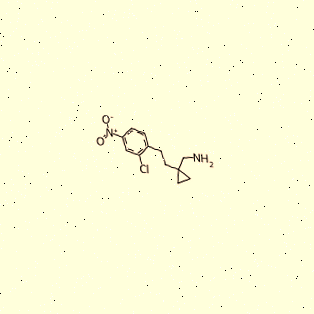 NCC1(CCc2ccc([N+](=O)[O-])cc2Cl)CC1